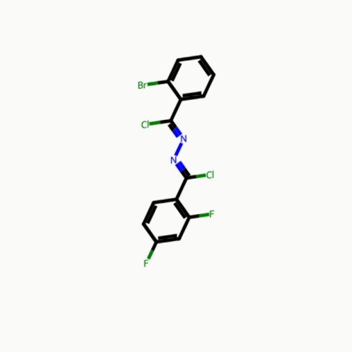 Fc1ccc(/C(Cl)=N/N=C(\Cl)c2ccccc2Br)c(F)c1